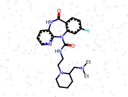 CCN(CC)CC1CCCCN1CCNC(=O)N1c2cc(F)ccc2C(=O)Nc2cccnc21